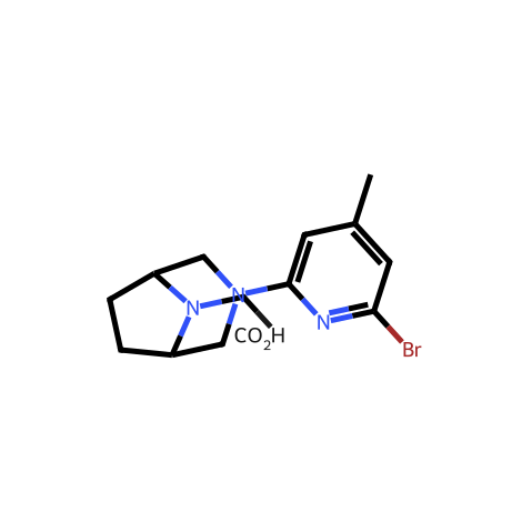 Cc1cc(Br)nc(N2CC3CCC(C2)N3CC(=O)O)c1